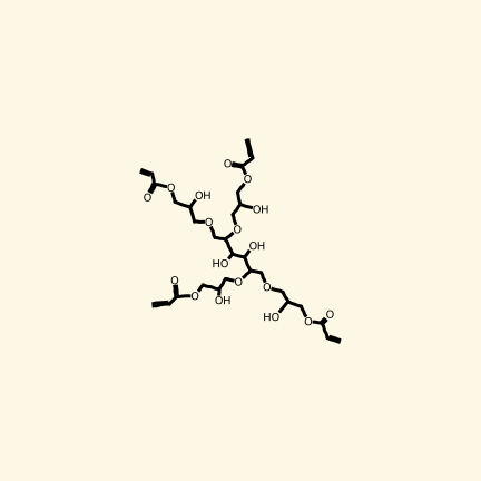 C=CC(=O)OCC(O)COCC(OCC(O)COC(=O)C=C)C(O)C(O)C(COCC(O)COC(=O)C=C)OCC(O)COC(=O)C=C